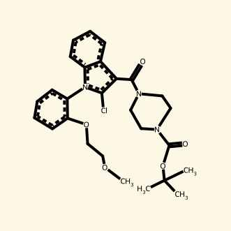 COCCOc1ccccc1-n1c(Cl)c(C(=O)N2CCN(C(=O)OC(C)(C)C)CC2)c2ccccc21